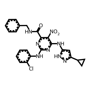 O=C(NCc1ccccc1)c1nc(Nc2ccccc2Cl)nc(Nc2cc(C3CC3)n[nH]2)c1[N+](=O)[O-]